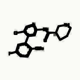 COc1ccc(F)cc1-c1cc(NC(=O)[C@@H]2CCCNC2)ncc1Cl